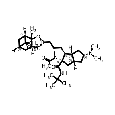 CC(=O)N[C@@]1(C(=O)NC(C)(C)C)C[C@H]2C[C@@H](N(C)C)C[C@H]2[C@@H]1CCCB1O[C@@H]2C[C@@H]3C[C@@H](C3(C)C)[C@]2(C)O1